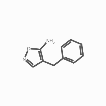 Nc1oncc1Cc1ccccc1